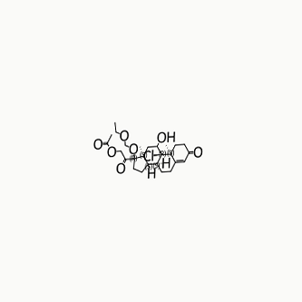 CCOCO[C@]1(C(=O)COC(C)=O)CC[C@H]2[C@@H]3CCC4=CC(=O)CC[C@]4(C)[C@@]3(Cl)C(O)C[C@@]21C